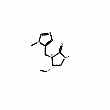 CC[C@H]1CNC(=O)[C@@H]1Cc1cncn1C